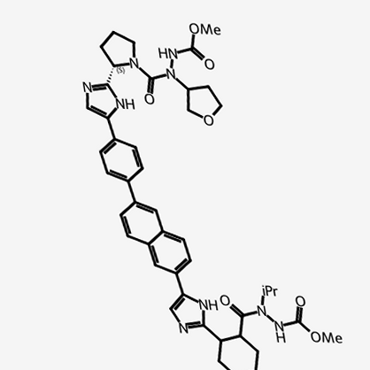 COC(=O)NN(C(=O)C1CCCCC1c1ncc(-c2ccc3cc(-c4ccc(-c5cnc([C@@H]6CCCN6C(=O)N(NC(=O)OC)C6CCOC6)[nH]5)cc4)ccc3c2)[nH]1)C(C)C